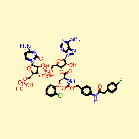 Nc1ccn([C@@H]2O[C@H](COP(=O)(O)O)[C@@H](OP(=O)(O)OCC3O[C@@H](n4cnc5c(N)ncnc54)[C@H](O)[C@@H]3OC(=O)[C@H](COc3ccccc3Cl)NC(=O)OCc3ccc(NC(=O)Cc4ccc(F)cc4)cc3)[C@H]2O)c(=O)n1